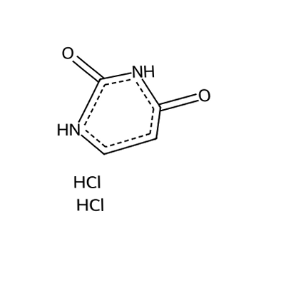 Cl.Cl.O=c1cc[nH]c(=O)[nH]1